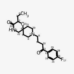 CCC1OC2(CCN(CCCC(=O)c3ccc(F)cc3)CC2)CNC1=O